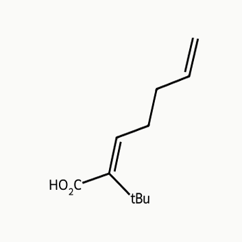 C=CCCC=C(C(=O)O)C(C)(C)C